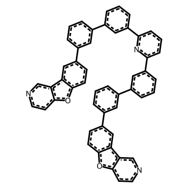 c1cc(-c2cccc(-c3cccc(-c4cccc(-c5cccc(-c6ccc7oc8ccncc8c7c6)c5)c4)n3)c2)cc(-c2ccc3oc4ccncc4c3c2)c1